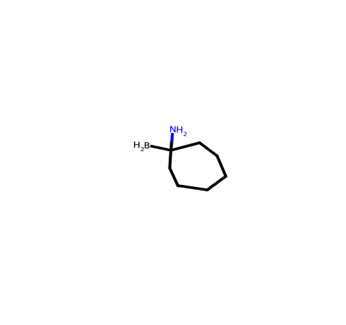 BC1(N)CCCCCC1